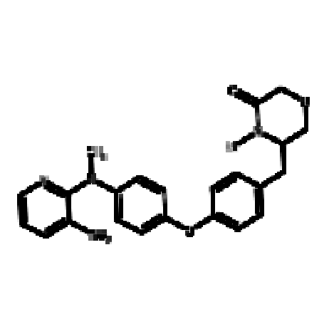 CCN1C(=O)COCC1Cc1ccc(Oc2ccc(N(C)c3ncccc3[N+](=O)[O-])cc2)cc1